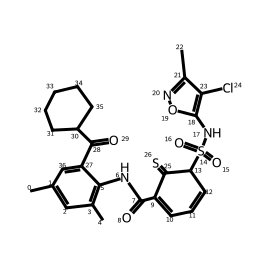 Cc1cc(C)c(NC(=O)C2=CC=CC(S(=O)(=O)Nc3onc(C)c3Cl)C2=S)c(C(=O)C2CCCCC2)c1